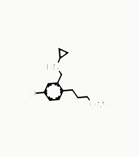 COCCCc1ccc(Cl)cc1CNC1CC1